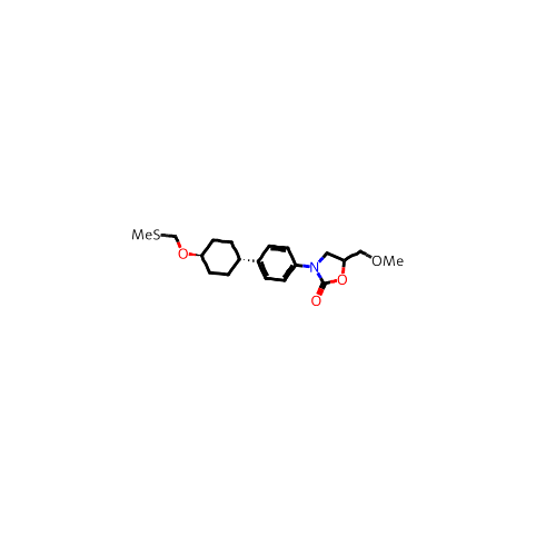 COCC1CN(c2ccc([C@H]3CC[C@H](OCSC)CC3)cc2)C(=O)O1